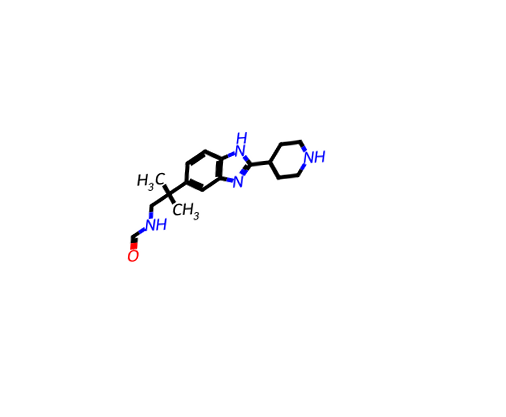 CC(C)(CNC=O)c1ccc2[nH]c(C3CCNCC3)nc2c1